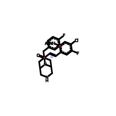 CC(=O)Nc1cc(Cl)c(F)cc1/C=C/C(=O)N1C2CNCC1CN(Cc1ccc(F)cc1)C2